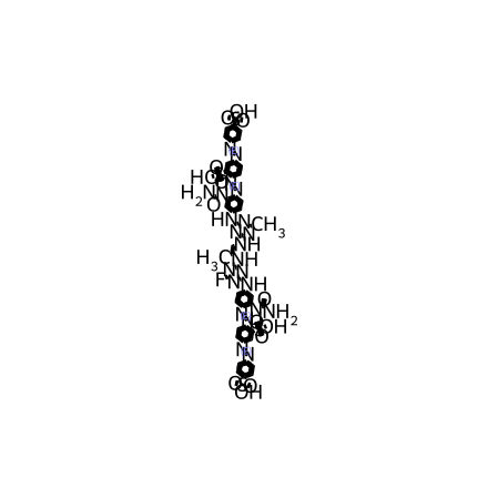 Cc1nc(NCC(C)Nc2nc(F)nc(Nc3ccc(/N=N/c4ccc(/N=N/c5ccc(S(=O)(=O)O)cc5)cc4S(=O)(=O)O)c(NC(N)=O)c3)n2)nc(Nc2ccc(/N=N/c3ccc(/N=N/c4ccc(S(=O)(=O)O)cc4)cc3S(=O)(=O)O)c(NC(N)=O)c2)n1